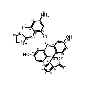 Nc1cc(Cl)c(N=C2NCCN2)c(Cl)c1.O=C1OC2(c3ccc(O)cc3Oc3cc(O)ccc32)c2ccccc21